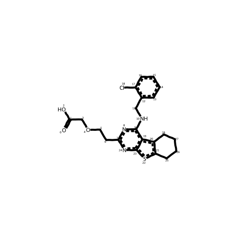 O=C(O)COCCc1nc(NCc2ccccc2Cl)c2c3c(sc2n1)CCCC3